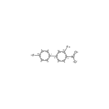 O=[N+]([O-])c1ccc(-c2ccc(F)cc2)cc1F